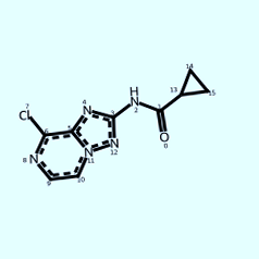 O=C(Nc1nc2c(Cl)nccn2n1)C1CC1